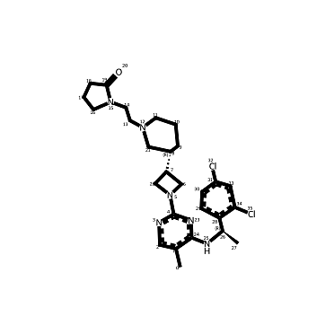 Cc1cnc(N2CC([C@H]3CCCN(CCN4CCCC4=O)C3)C2)nc1N[C@H](C)c1ccc(Cl)cc1Cl